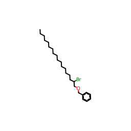 CCCCCCCCCCCCCCCCC(Br)COCc1ccccc1